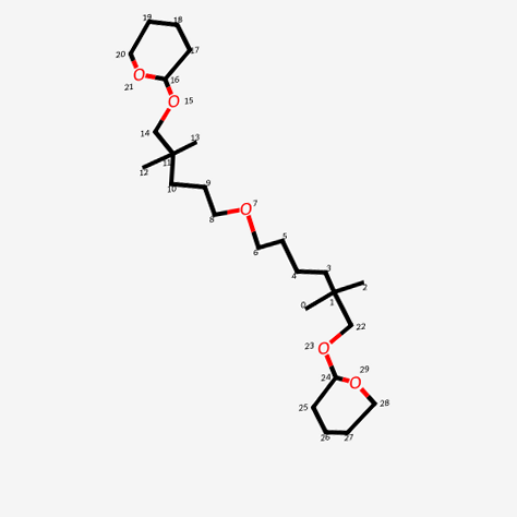 CC(C)(CCCCOCCCC(C)(C)COC1CCCCO1)COC1CCCCO1